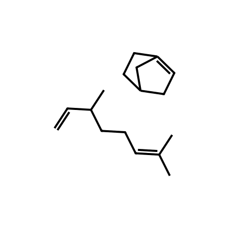 C1=C2CCC(C1)C2.C=CC(C)CCC=C(C)C